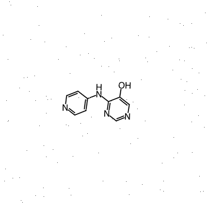 Oc1cncnc1Nc1ccncc1